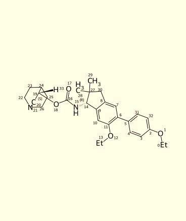 CCOc1ccc(-c2cc3c(cc2OCC)[C@H](NC(=O)O[C@@H]2CN4CCC2CC4)C(C)(C)C3)cc1